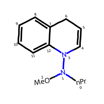 CCCN(OC)N1C=CCc2ccccc21